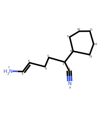 N#CC(CCC=CN)C1CCCCC1